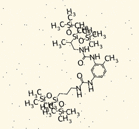 Cc1ccc(NC(=O)NCCC[Si](C)(O[Si](C)(C)C)O[Si](C)(C)C)cc1NC(=O)NCC(C)[Si](C)(O[Si](C)(C)C)O[Si](C)(C)C